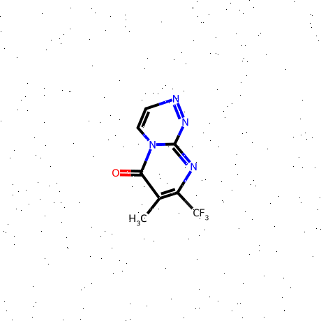 Cc1c(C(F)(F)F)nc2nnccn2c1=O